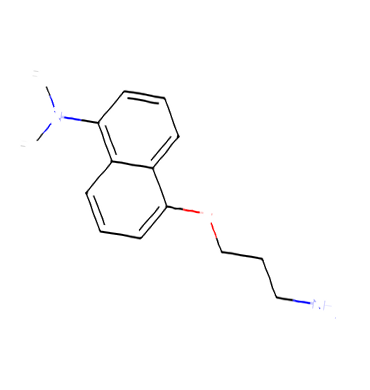 CCN(CC)c1cccc2c(OCCCN)cccc12